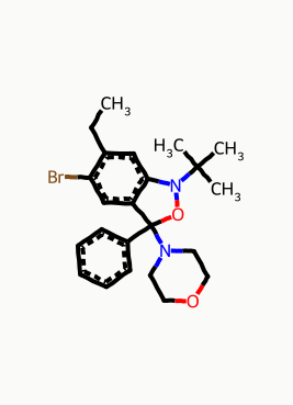 CCc1cc2c(cc1Br)C(c1ccccc1)(N1CCOCC1)ON2C(C)(C)C